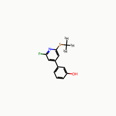 [2H]C([2H])([2H])Sc1cc(-c2cccc(O)c2)cc(F)n1